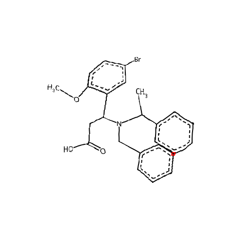 COc1ccc(Br)cc1C(CC(=O)O)N(Cc1ccccc1)C(C)c1ccccc1